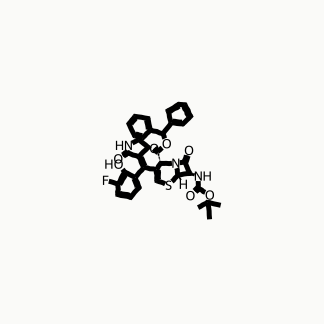 CC(C)(C)OC(=O)N[C@@H]1C(=O)N2[C@@H](C(=O)OC(c3ccccc3)c3ccccc3)C(C(=C3CCNC3=O)c3cccc(F)c3O)=CS[C@H]12